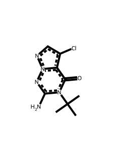 CC(C)(C)n1c(N)nn2ncc(Cl)c2c1=O